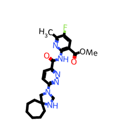 COC(=O)c1cc(F)c(C)nc1NC(=O)c1ccc(N2CNC3(CCCCCC3)C2)nn1